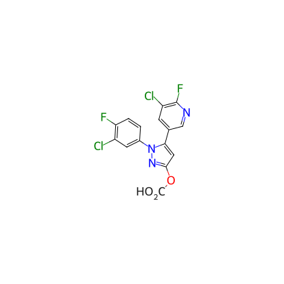 O=C(O)Oc1cc(-c2cnc(F)c(Cl)c2)n(-c2ccc(F)c(Cl)c2)n1